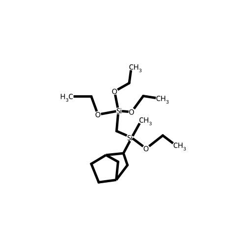 CCO[Si](C[Si](C)(OCC)C1CC2CCC1C2)(OCC)OCC